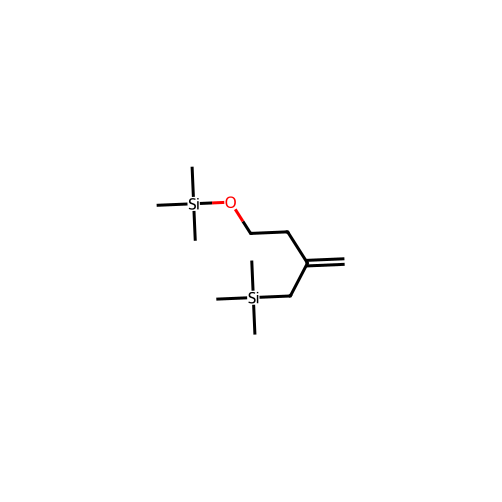 C=C(CCO[Si](C)(C)C)C[Si](C)(C)C